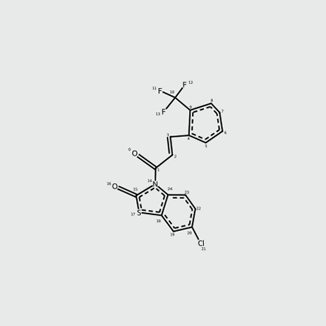 O=C(/C=C/c1ccccc1C(F)(F)F)n1c(=O)sc2cc(Cl)ccc21